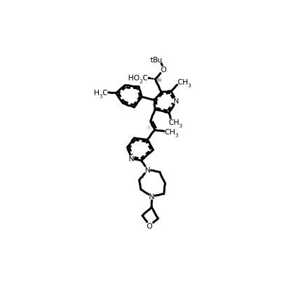 C/C(=C\c1c(C)nc(C)c([C@H](OC(C)(C)C)C(=O)O)c1-c1ccc(C)cc1)c1ccnc(N2CCCN(C3COC3)CC2)c1